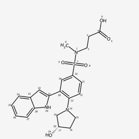 CN(CCC(=O)O)S(=O)(=O)c1ccc(N2CC[C@H](O)C2)c(-c2cc3ccccc3[nH]2)c1